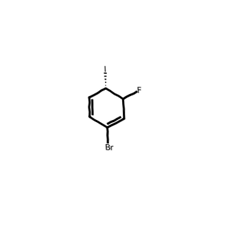 FC1C=C(Br)C=C[C@@H]1I